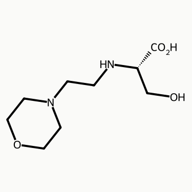 O=C(O)[C@H](CO)NCCN1CCOCC1